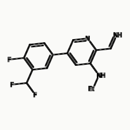 CCNc1cc(-c2ccc(F)c(C(F)F)c2)cnc1C=N